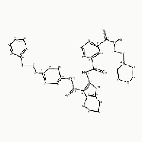 CN(CCN1CCOCC1)C(=O)c1cccc(C(=O)Nc2sc3c(c2C(=O)Nc2ccc(CCCc4ccccc4)cc2)CCCC3)c1